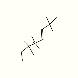 CCC(C)(C)[Si](C)(C)C=CC(C)(C)C